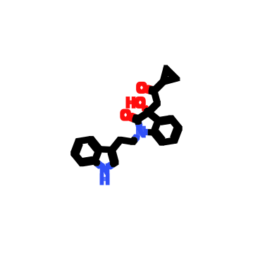 O=C(CC1(O)C(=O)N(CCc2c[nH]c3ccccc23)c2ccccc21)C1CC1